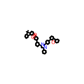 CC1(C)c2ccccc2-c2c1ccc1c2Oc2cc(-c3cccc(-c4cc(-c5ccccc5)nc(-c5ccc(-c6cccc7c6oc6ccccc67)cc5)n4)c3)ccc2O1